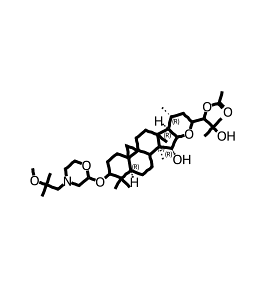 COC(C)(C)CN1CCOC(OC2CCC34CC35CCC3(C)[C@@H]6C(OC(C(OC(C)=O)C(C)(C)O)C[C@H]6C)[C@H](O)[C@@]3(C)C5CC[C@H]4C2(C)C)C1